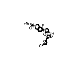 CC(C)(C)OC(=O)N1CCc2c(ccc(N3CC[C@H](NS(=O)(=O)C=Cc4ccc(Cl)s4)C3=O)c2F)C1